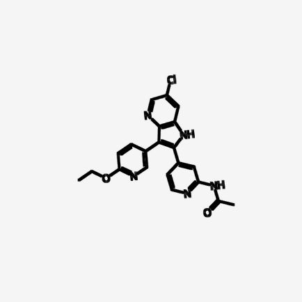 CCOc1ccc(-c2c(-c3ccnc(NC(C)=O)c3)[nH]c3cc(Cl)cnc23)cn1